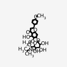 COc1ccc(-c2cc(=O)c3c(O)c(OC)c(OC4OC(C(=O)NC(C)C)C(O)C(O)C4O)cc3o2)cc1